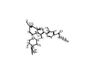 CNC(=O)c1ccc(-c2nc3cc(C)ccn3c2C[C@H]2CN(C(C)=O)[C@@H](C)CO2)c(C)c1